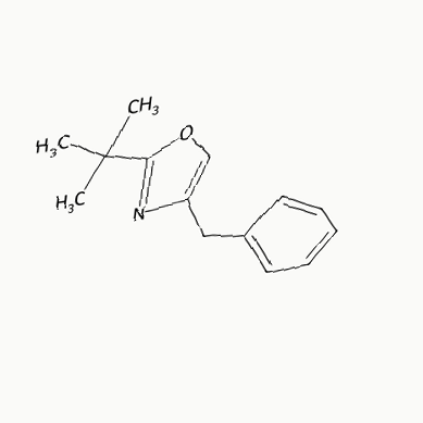 CC(C)(C)c1nc(Cc2ccccc2)co1